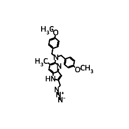 COc1ccc(CN(Cc2ccc(OC)cc2)c2nc3cc(CN=[N+]=[N-])[nH]c3cc2C)cc1